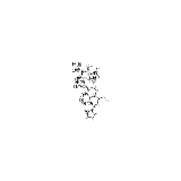 CCc1cc(-c2cccs2)c(N=O)c2c1CC1C[C@H]3[C@H](N(C)C)C(O)=C(C(N)=O)C(=O)[C@@]3(O)C(O)=C1C2=O